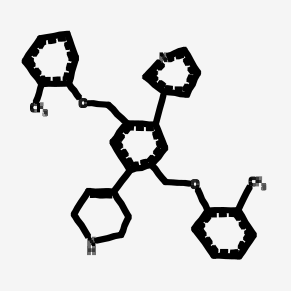 FC(F)(F)c1ccccc1OCc1cc(-c2cccnc2)c(COc2ccccc2C(F)(F)F)cc1C1=CCNCC1